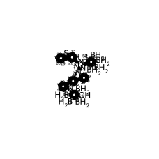 Bc1c(B)c(B)c(-c2nc(-c3ccc4sc5ccccc5c4c3)nc(N(C)c3ccccc3-c3ccc4c5ccccc5n(-c5c(B)c(B)c(B)c(O)c5B)c4c3)n2)c(B)c1B